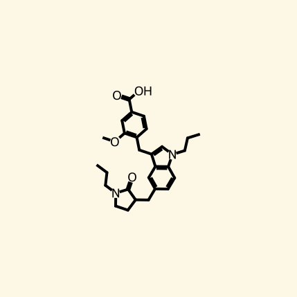 CCCN1CCC(Cc2ccc3c(c2)c(Cc2ccc(C(=O)O)cc2OC)cn3CCC)C1=O